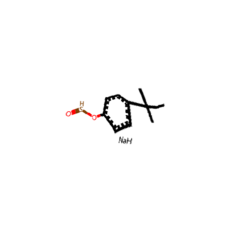 CC(C)(C)c1ccc(O[SH]=O)cc1.[NaH]